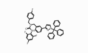 O=C(Nc1c(F)cc(F)cc1F)N(Cc1ccc(F)cc1)Cc1cccc(-c2ccn(C(c3ccccc3)(c3ccccc3)c3ccccc3)n2)c1